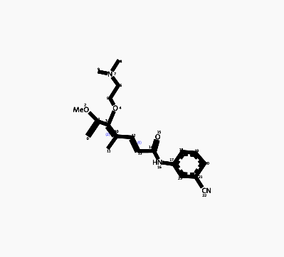 C=C(OC)/C(OCCN(C)C)=C(C)/C=C/C(=O)Nc1cccc(C#N)c1